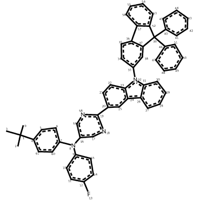 CC(C)(C)c1ccc(N(c2ccc(F)cc2)c2cnc(-c3ccc4c(c3)c3ccccc3n4-c3ccc4c(c3)C(c3ccccc3)(c3ccccc3)c3ccccc3-4)nc2)cc1